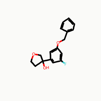 OC1(c2cc(F)cc(OCc3ccccc3)c2)CCOC1